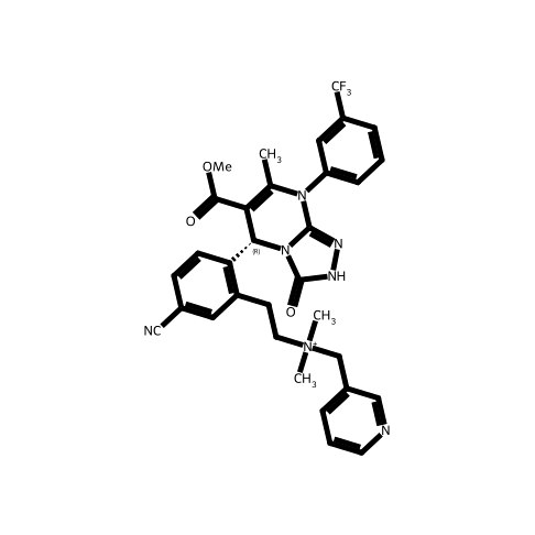 COC(=O)C1=C(C)N(c2cccc(C(F)(F)F)c2)c2n[nH]c(=O)n2[C@@H]1c1ccc(C#N)cc1CC[N+](C)(C)Cc1cccnc1